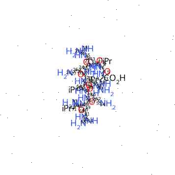 CC(C)C[C@H](NC(=O)[C@H](CC(C)C)NC(=O)[C@H](CCCNC(=N)N)NC(=O)[C@H](CCCCN)NC(=O)[C@H](CCCNC(=N)N)NC(=O)[C@H](CC(C)C)NC(=O)[C@H](CCCCN)NC(=O)[C@H](CCCNC(=N)N)NC(=O)[C@@H](N)CC(C)C)C(=O)O